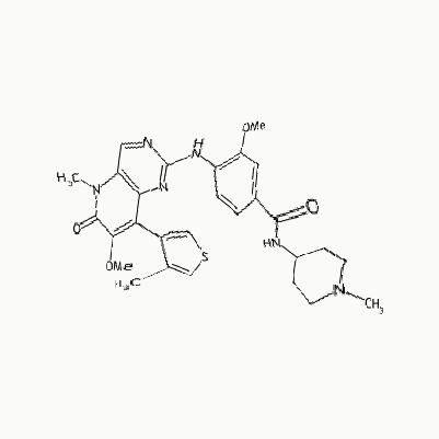 COc1cc(C(=O)NC2CCN(C)CC2)ccc1Nc1ncc2c(n1)c(-c1cscc1C)c(OC)c(=O)n2C